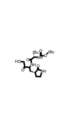 CC(C)(C)OC(=O)N[C@H](C(=O)NC(C[C@@H]1CCNC1=O)C(=O)CO)C(C)(C)C